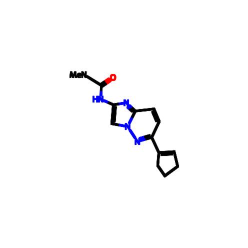 CNC(=O)Nc1cn2nc(C3=CCCC3)ccc2n1